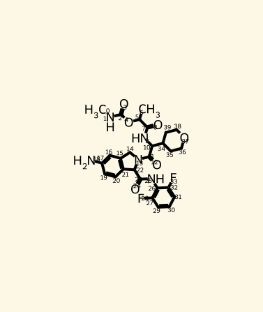 CNC(=O)OC(C)C(=O)NC(C(=O)N1Cc2cc(N)ccc2C1C(=O)Nc1c(F)cccc1F)C1CCOCC1